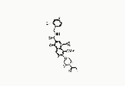 COc1c(N2C[C@@H](C)N(C(=O)CCl)[C@@H](C)C2)c(F)cc2c(=O)c(C(=O)NCc3ccc(Cl)cc3Cl)cn(C3CC3)c12